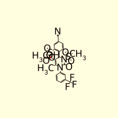 CC1=C(C(=O)O)[C@@H](c2ccc(C#N)cc2S(C)(=O)=O)N(S(C)(=O)=O)C(=O)N1c1cccc(C(F)(F)F)c1